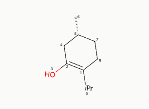 CC(C)C1=C(O)C[C@H](C)CC1